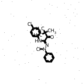 CC(C)(C)C(=O)C(=NN(Cl)c1ccccc1)Nc1ccc(Cl)cc1